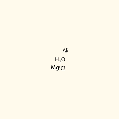 O.[Al].[C].[Mg]